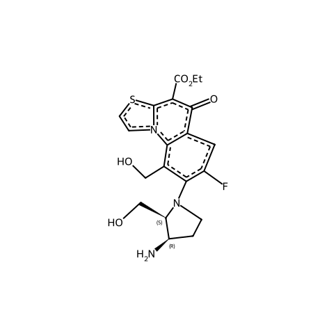 CCOC(=O)c1c(=O)c2cc(F)c(N3CC[C@@H](N)[C@H]3CO)c(CO)c2n2ccsc12